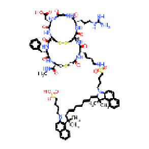 CNC(=O)[C@@H]1CSCC(=O)N[C@@H](CCCCNS(=O)(=O)CCCCN2/C(=C/C=C/C=C/C=C/C3=[N+](CCCCS(=O)(=O)O)c4ccc5ccccc5c4C3(C)C)C(C)(C)c3c2ccc2ccccc32)C(=O)N[C@H]2CSSC[C@H](NC(=O)[C@H](CC(=O)O)NC(=O)CNC(=O)[C@H](CCCNC(=N)N)NC2=O)C(=O)N[C@@H](Cc2ccccc2)C(=O)N1